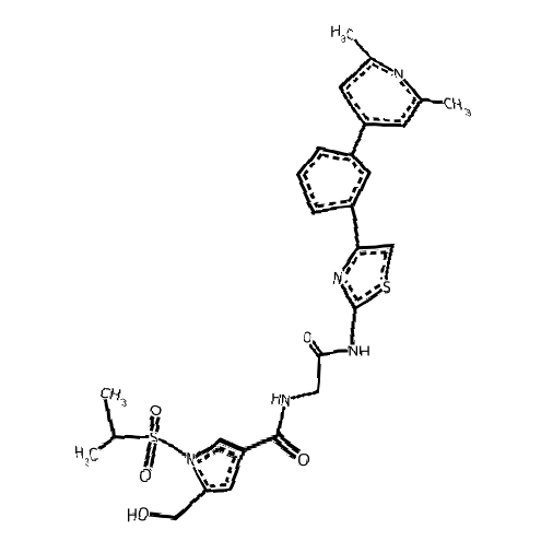 Cc1cc(-c2cccc(-c3csc(NC(=O)CNC(=O)c4cc(CO)n(S(=O)(=O)C(C)C)c4)n3)c2)cc(C)n1